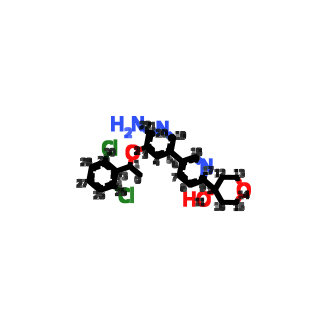 CC(Oc1cc(-c2ccc(C3(O)CCOCC3)nc2)cnc1N)c1c(Cl)cccc1Cl